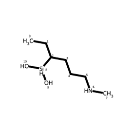 CCC(CCCNC)[SiH](O)O